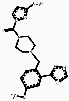 O=C(O)c1ccn(C(=O)N2CCN(Cc3ccc(OC(F)(F)F)cc3-c3nnco3)CC2)n1